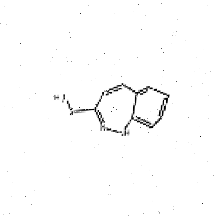 CSC1=NNc2ccccc2C=C1